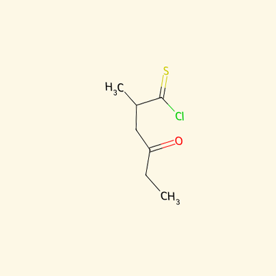 CCC(=O)CC(C)C(=S)Cl